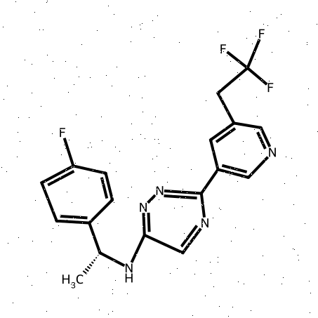 C[C@@H](Nc1cnc(-c2cncc(CC(F)(F)F)c2)nn1)c1ccc(F)cc1